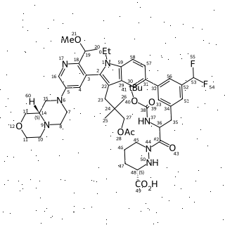 CCn1c(-c2cc(N3CCN4CCOC[C@@H]4C3)cnc2C(C)OC)c(CC(C)(C)COC(C)=O)c2cc(-c3cc(CC(NC(=O)OC(C)(C)C)C(=O)N4CCC[C@@H](C(=O)O)N4)cc(C(F)F)c3)ccc21